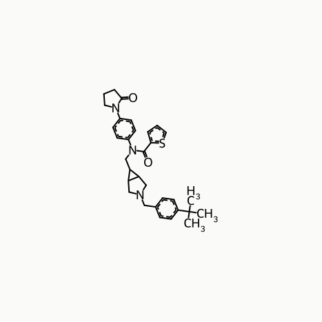 CC(C)(C)c1ccc(CN2CC3C(C2)C3CN(C(=O)c2cccs2)c2ccc(N3CCCC3=O)cc2)cc1